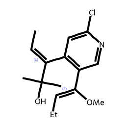 C/C=C(\c1cc(Cl)ncc1/C(=C/CC)OC)C(C)(C)O